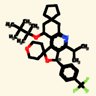 CC(C)c1nc2c(c3c1[C@@H](c1ccc(C(F)(F)F)cc1)OC31CCOCC1)C(O[Si](C)(C)C(C)(C)C)CC1(CCCC1)C2